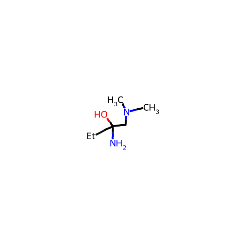 CCC(N)(O)CN(C)C